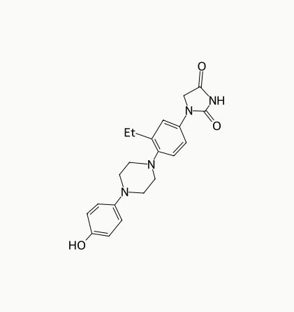 CCc1cc(N2CC(=O)NC2=O)ccc1N1CCN(c2ccc(O)cc2)CC1